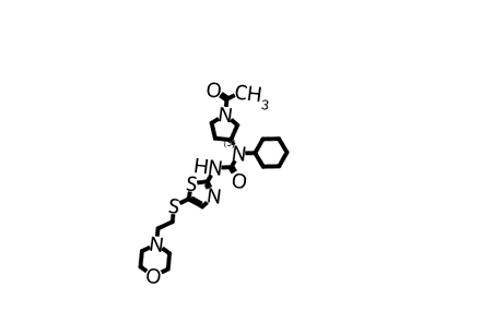 CC(=O)N1CC[C@H](N(C(=O)Nc2ncc(SCCN3CCOCC3)s2)C2CCCCC2)C1